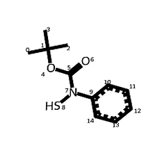 CC(C)(C)OC(=O)N(S)c1ccccc1